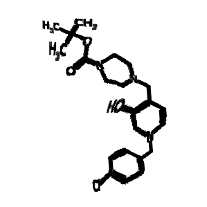 CC(C)(C)OC(=O)N1CCN(CC2=C(O)CN(Cc3ccc(Cl)cc3)C=C2)CC1